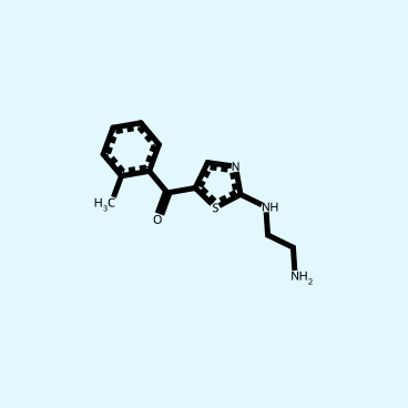 Cc1ccccc1C(=O)c1cnc(NCCN)s1